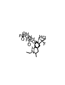 CCNC(C)Cc1cccc(C(F)(F)F)c1.Cl.O=P(O)(O)F.O=P(O)(O)F